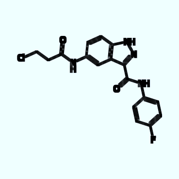 O=C(CCCl)Nc1ccc2[nH]nc(C(=O)Nc3ccc(F)cc3)c2c1